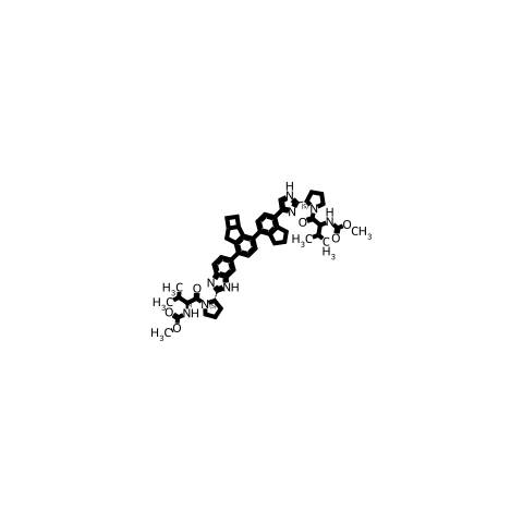 COC(=O)NC(C(=O)N1CCC[C@H]1c1nc(-c2ccc(-c3ccc(-c4ccc5nc([C@@H]6CCCN6C(=O)[C@@H](NC(=O)OC)C(C)C)[nH]c5c4)c4c3C3CCC3C4)c3c2CCC3)c[nH]1)C(C)C